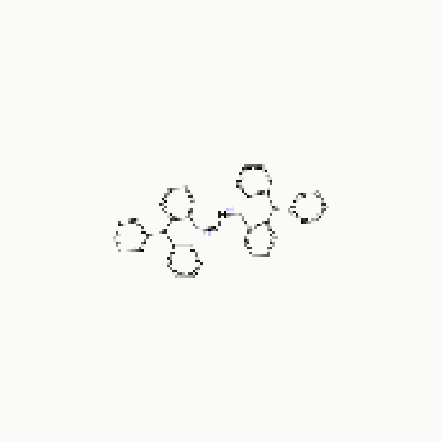 C(=C/c1ccccc1P(c1ccccc1)c1ccccc1)/N=C\c1ccccc1P(c1ccccc1)c1ccccc1